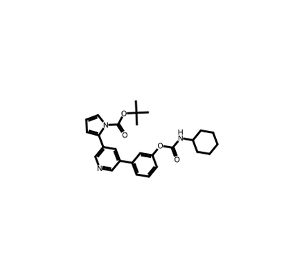 CC(C)(C)OC(=O)n1cccc1-c1cncc(-c2cccc(OC(=O)NC3CCCCC3)c2)c1